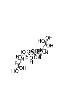 OC[C@@H](O)[C@@H](O)Cc1cncc([C@@H](F)[C@H](O)[C@@H](O)[C@@H](O)C(O)C(O)C(F)C(O)c2cncc(C[C@H](F)[C@H](O)CO)n2)n1